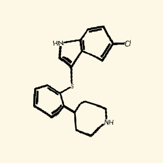 Clc1ccc2[nH]cc(Sc3ccccc3C3CCNCC3)c2c1